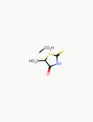 CC(=O)O.O=C1NC(=S)SC1S(=O)(=O)O